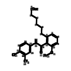 CCCCCCCCCCCCCCCc1cccc(OC(C)C)c1C(=O)Nc1ccc(Cl)c(C(F)(F)F)c1